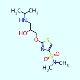 CC(C)NCC(O)COc1nc(S(=O)(=O)N(C)C)cs1